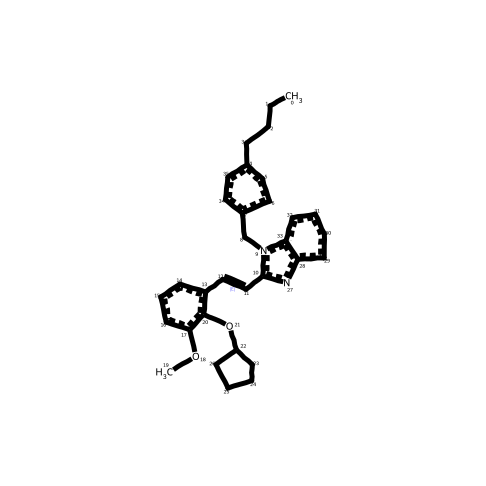 CCCCc1ccc(Cn2c(/C=C/c3cccc(OC)c3OC3CCCC3)nc3ccccc32)cc1